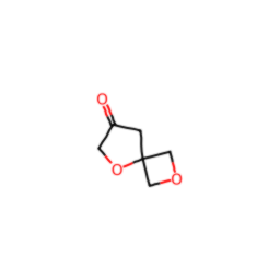 O=C1COC2(COC2)C1